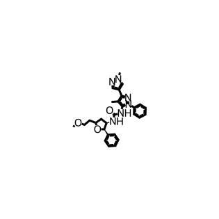 COCCC1C[C@H](NC(=O)Nc2c(C)c(-c3cnn(C)c3)nn2-c2ccccc2)[C@@H](c2ccccc2)O1